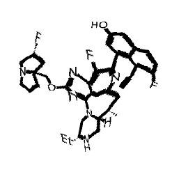 C#Cc1c(F)ccc2cc(O)cc(-c3nc4c5c(nc(OC[C@@]67CCCN6C[C@H](F)C7)nc5c3F)N3C[C@@H](CC)NC[C@H]3[C@@H](C)C4)c12